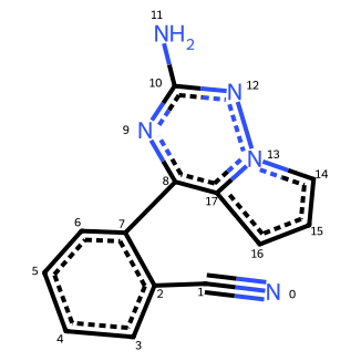 N#Cc1ccccc1-c1nc(N)nn2cccc12